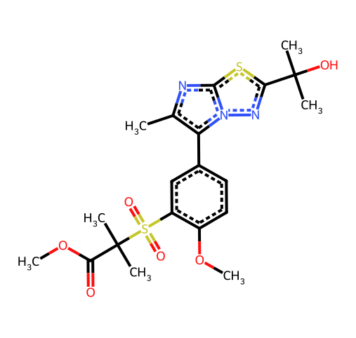 COC(=O)C(C)(C)S(=O)(=O)c1cc(-c2c(C)nc3sc(C(C)(C)O)nn23)ccc1OC